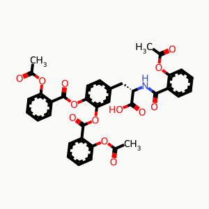 CC(=O)Oc1ccccc1C(=O)N[C@@H](Cc1ccc(OC(=O)c2ccccc2OC(C)=O)c(OC(=O)c2ccccc2OC(C)=O)c1)C(=O)O